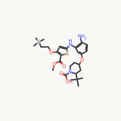 COC(=O)c1sc(Nc2cc(OC3CCN(C(=O)O)C(C(C)(C)C)C3)ccc2N)cc1OCC[Si](C)(C)C